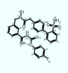 CCN(Cc1cccc(C(=N)NC(=O)Oc2ccc(F)cc2)c1)C(=O)Cc1ccc(-c2ccccc2S(N)(=O)=O)cc1